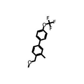 COCc1ccc(-c2ccc(OC(F)(F)F)cc2)cc1C